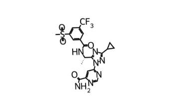 C[C@H](NC(=O)c1cc(C(F)(F)F)cc(S(C)(=O)=O)c1)c1nc(C2CC2)nn1-c1cc(C(N)=O)ncn1